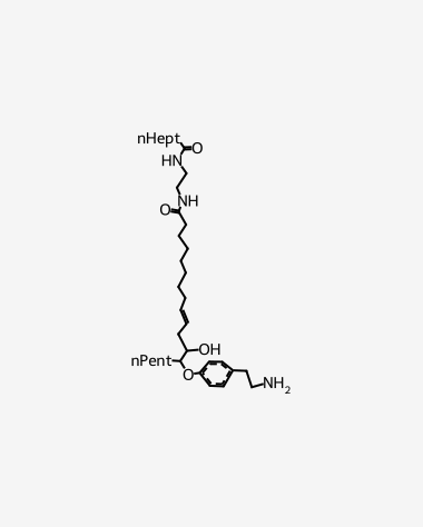 CCCCCCCC(=O)NCCNC(=O)CCCCCCCC=CCC(O)C(CCCCC)Oc1ccc(CCN)cc1